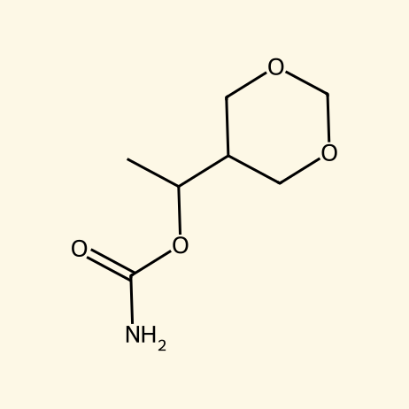 CC(OC(N)=O)C1COCOC1